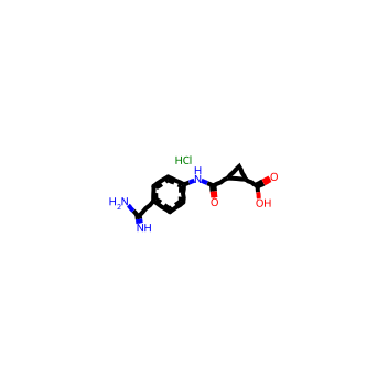 Cl.N=C(N)c1ccc(NC(=O)C2CC2C(=O)O)cc1